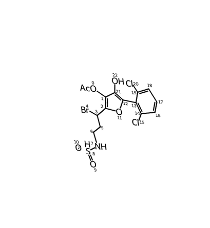 CC(=O)Oc1c(C(Br)CCN[SH](=O)=O)oc(-c2c(Cl)cccc2Cl)c1O